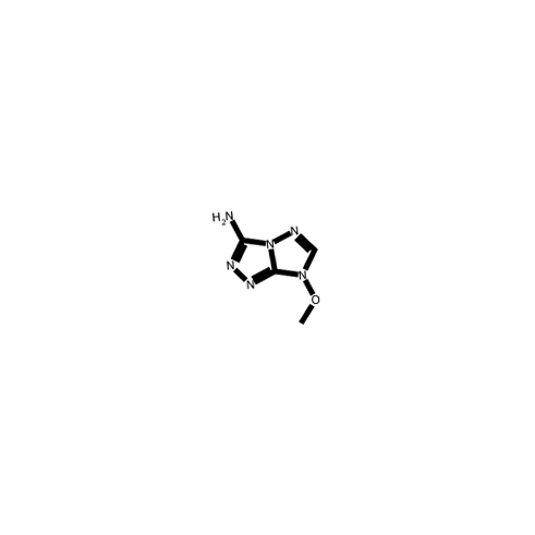 COn1cnn2c(N)nnc12